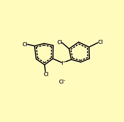 Clc1ccc([I+]c2ccc(Cl)cc2Cl)c(Cl)c1.[Cl-]